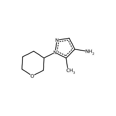 Cc1c(N)cnn1C1CCCOC1